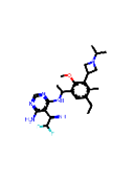 CCc1cc(C(C)Nc2ncnc(N)c2C(=N)C(F)F)c(OC)c(C2CN(C(C)C)C2)c1C